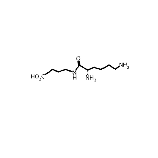 NCCCC[C@H](N)C(=O)NCCCC(=O)O